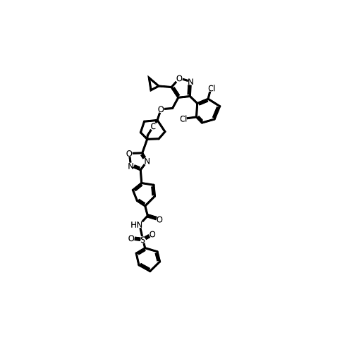 O=C(NS(=O)(=O)c1ccccc1)c1ccc(-c2noc(C34CCC(OCc5c(-c6c(Cl)cccc6Cl)noc5C5CC5)(CC3)CC4)n2)cc1